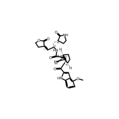 COc1cccc2[nH]c(C(=O)N3[C@@H]4CC[C@H]([C@H]3C(=O)N[C@H](/C=C3/CCOC3=O)C[C@H]3CCNC3=O)C(F)(F)C4)cc12